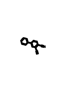 C#Cc1cc(-c2ccccc2)ccc1C#N